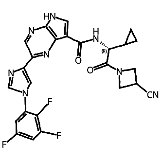 N#CC1CN(C(=O)[C@H](NC(=O)c2c[nH]c3ncc(-c4cn(-c5cc(F)cc(F)c5F)cn4)nc23)C2CC2)C1